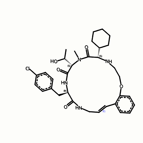 CC(O)[C@H]1C(=O)N[C@H](Cc2ccc(Cl)cc2)C(=O)NC/C=C/c2ccccc2OCCN[C@@H](C2CCCCC2)C(=O)N1C